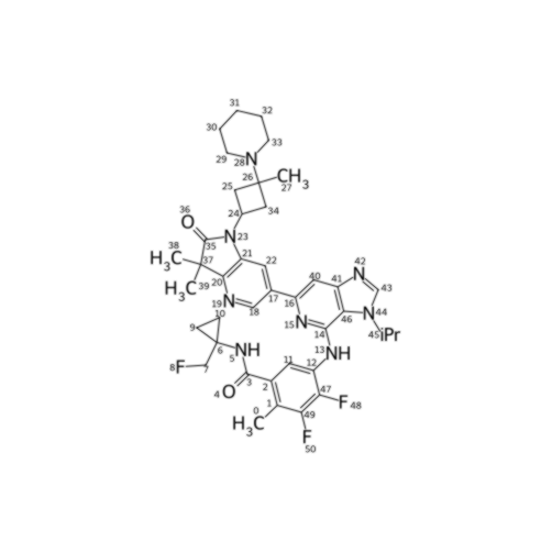 Cc1c(C(=O)NC2(CF)CC2)cc(Nc2nc(-c3cnc4c(c3)N(C3CC(C)(N5CCCCC5)C3)C(=O)C4(C)C)cc3ncn(C(C)C)c23)c(F)c1F